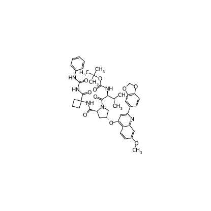 COc1ccc2c(O[C@@H]3C[C@@H](C(=O)NC4(C(=O)NC(=O)Nc5ccccc5)CCC4)N(C(=O)[C@@H](NC(=O)OC(C)(C)C)C(C)C)C3)cc(-c3ccc4c(c3)OCO4)nc2c1